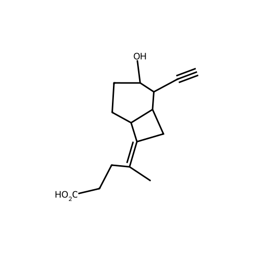 C#CC1C(O)CCC2/C(=C(/C)CCC(=O)O)CC21